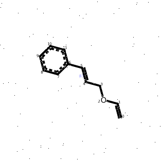 C=COC/C=C/c1ccccc1